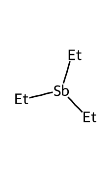 C[CH2][Sb]([CH2]C)[CH2]C